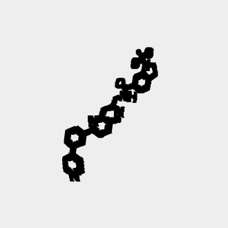 CS(=O)(=O)N1CCc2ccc(C(=O)NCc3cc4nc(-c5cccc(-c6ccncc6)c5)ccc4cn3)cc21